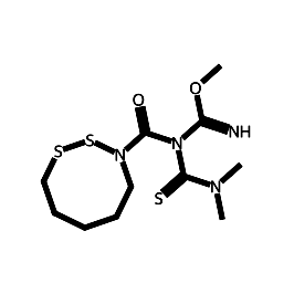 COC(=N)N(C(=O)N1CCCCCSS1)C(=S)N(C)C